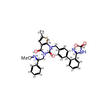 CCc1cc2c(=O)n(C/C(=N/OC)c3ccccc3)c(=O)n(Cc3ccc(-c4ccccc4-c4noc(=O)[nH]4)cc3)c2s1